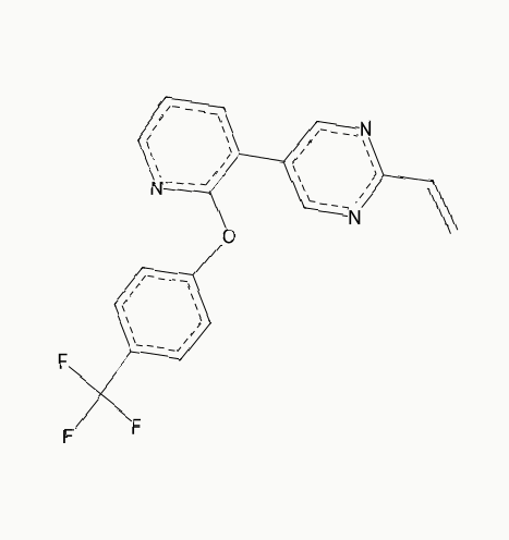 C=Cc1ncc(-c2cccnc2Oc2ccc(C(F)(F)F)cc2)cn1